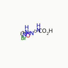 O=C(CN[C@H]1C[C@H](NC(=O)O)C1)Nc1cccc(Br)n1